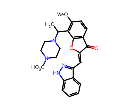 COc1ccc2c(c1C(C)N1CCN(C(=O)O)CC1)OC(=Cc1n[nH]c3ccccc13)C2=O